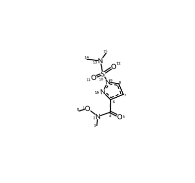 CON(C)C(=O)c1ccn(S(=O)(=O)N(C)C)n1